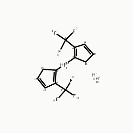 FC(F)(F)C1=[C]([Hf+2][C]2=C(C(F)(F)F)C=CC2)CC=C1.[H-].[H-]